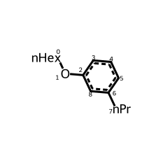 [CH2]CCCCCOc1cccc(CCC)c1